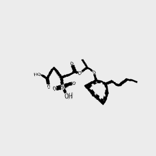 CCCCc1ccccc1OC(C)OC(=O)C(CC(=O)O)S(=O)(=O)O